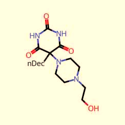 CCCCCCCCCCC1(N2CCN(CCO)CC2)C(=O)NC(=O)NC1=O